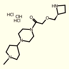 CN1CCC(N2CCN(C(=O)COC[C@@H]3CCN3)CC2)CC1.Cl.Cl.Cl